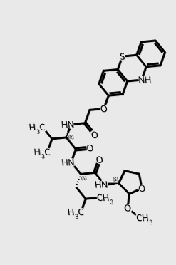 COC1OCC[C@@H]1NC(=O)[C@H](CC(C)C)NC(=O)[C@H](NC(=O)COc1ccc2c(c1)Nc1ccccc1S2)C(C)C